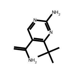 C=C(N)c1cnc(N)nc1C(C)(C)C